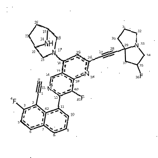 C#Cc1c(F)ccc2cccc(-c3ncc4c(N5CC6CCC(C5)N6)cc(C#CC56CCCN5CC(F)C6)nc4c3F)c12